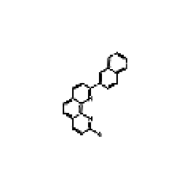 Brc1ccc2ccc3ccc(-c4ccc5ccccc5c4)nc3c2n1